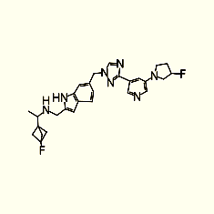 CC(NCc1cc2ccc(Cn3cnc(-c4cncc(N5CC[C@@H](F)C5)c4)n3)cc2[nH]1)C12CC(F)(C1)C2